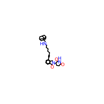 O=C1CCC(N2Cc3c(C#CCCCCCNCC45CC6CC(CC(C6)C4)C5)cccc3C2=O)C(=O)N1